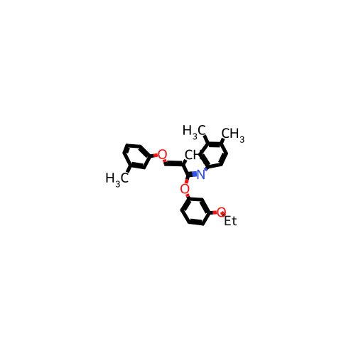 CCOc1cccc(OC(=Nc2ccc(C)c(C)c2)C(C)=COc2cccc(C)c2)c1